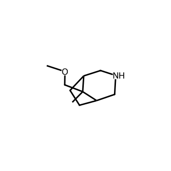 COCC1(C)C2CCC1CNC2